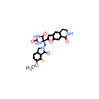 COc1ccc2c(c1F)C(=O)N(C[C@@]1(c3cc4cc5c(cc4o3)C(=O)NCC5)NC(=O)NC1=O)C2